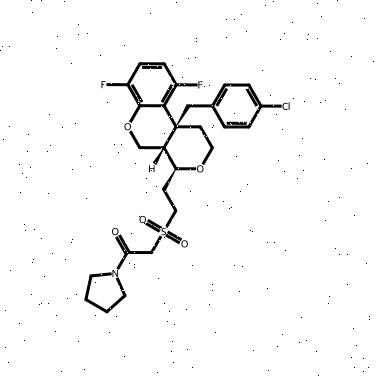 O=C(CS(=O)(=O)CC[C@@H]1OCC[C@@]2(Cc3ccc(Cl)cc3)c3c(F)ccc(F)c3OC[C@@H]12)N1CCCC1